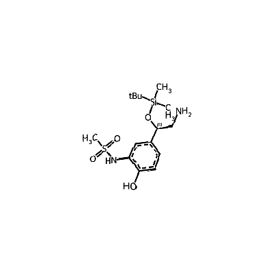 CC(C)(C)[Si](C)(C)O[C@@H](CN)c1ccc(O)c(NS(C)(=O)=O)c1